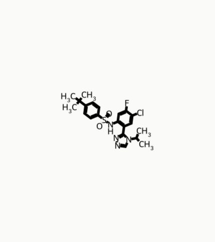 CC(C)n1cnnc1-c1cc(Cl)c(F)cc1NS(=O)(=O)c1ccc(C(C)(C)C)cc1